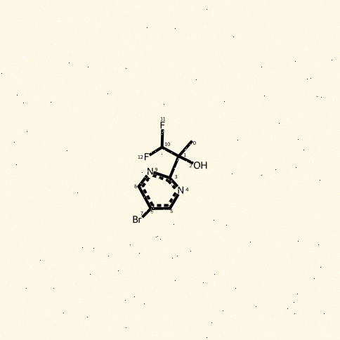 CC(O)(c1ncc(Br)cn1)C(F)F